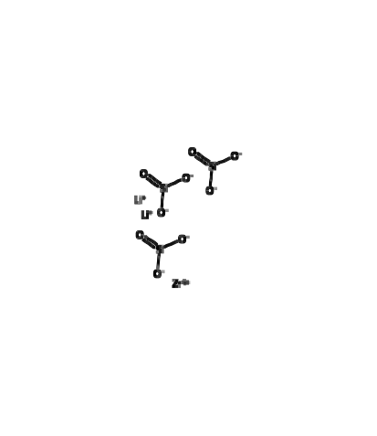 O=[Si]([O-])[O-].O=[Si]([O-])[O-].O=[Si]([O-])[O-].[Li+].[Li+].[Zr+4]